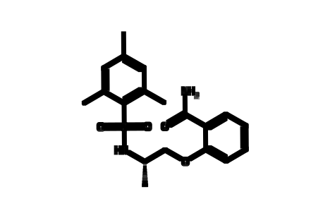 Cc1cc(C)c(S(=O)(=O)N[C@@H](C)COc2ccccc2C(N)=O)c(C)c1